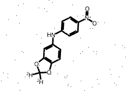 [2H]C1([2H])Oc2ccc(Nc3ccc([N+](=O)[O-])cc3)cc2O1